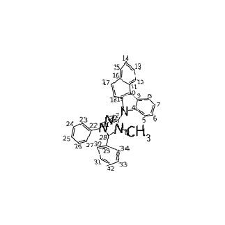 CN1C(n2c3ccccc3c3c4ccccc4ccc32)=NN(c2ccccc2)C1c1ccccc1